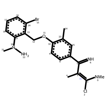 CN/C(Cl)=C(/C)C(=N)c1ccc(OCc2c(Br)cccc2N(C)N)c(C)c1